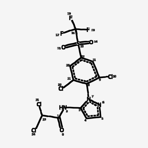 O=C(Nc1ccnn1-c1c(Cl)cc(S(=O)(=O)C(F)(F)F)cc1Cl)C(Cl)Cl